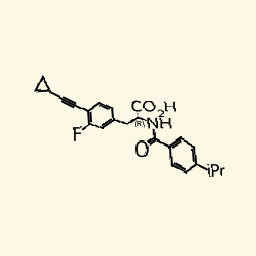 CC(C)c1ccc(C(=O)N[C@H](Cc2ccc(C#CC3CC3)c(F)c2)C(=O)O)cc1